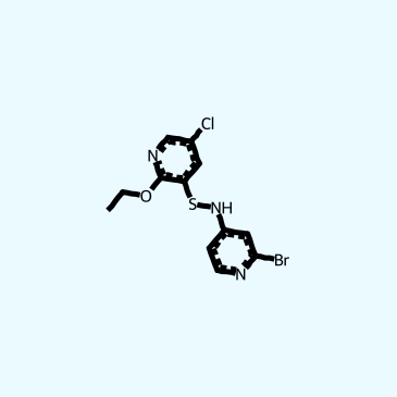 CCOc1ncc(Cl)cc1SNc1ccnc(Br)c1